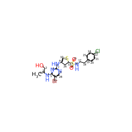 C[C@H](CO)Nc1nc(NC2=CSC(S(=O)(=O)NCCc3ccc(Cl)cc3)C2)ncc1Br